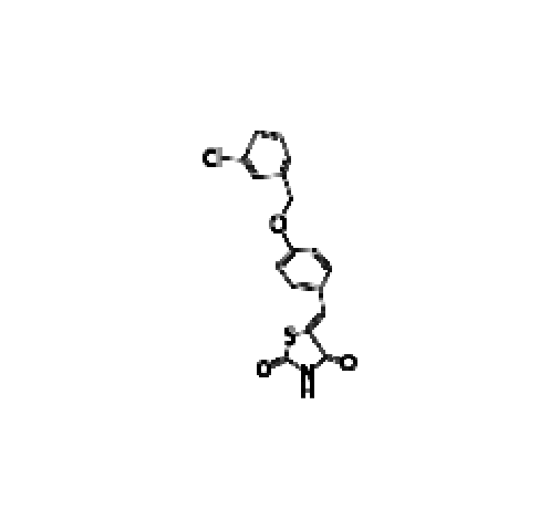 O=C1NC(=O)C(=Cc2ccc(OCc3cccc(Cl)c3)cc2)S1